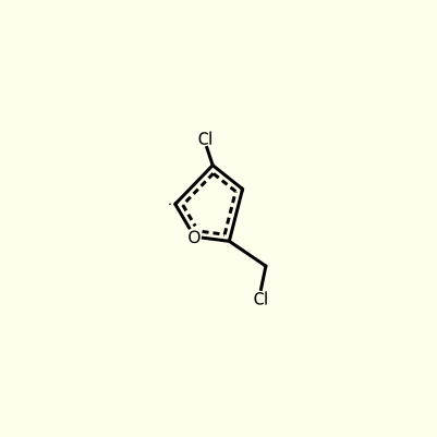 ClCc1cc(Cl)[c]o1